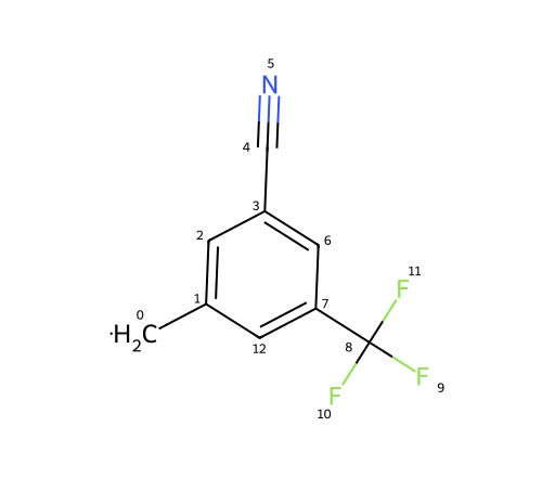 [CH2]c1cc(C#N)cc(C(F)(F)F)c1